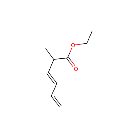 C=CC=CC(C)C(=O)OCC